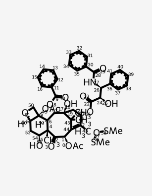 CC(=O)O[C@H]1C(=O)[C@@]2(C)[C@H]([C@H](OC(=O)c3ccccc3)[C@]3(O)C[C@H](OC(=O)[C@H](O)[C@@H](NC(=O)c4ccccc4)c4ccccc4)C(C)=C1C3(C)C)[C@]1(OC(C)=O)CO[C@@H]1C[C@@H]2O.CSOSC